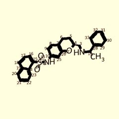 C[C@@H](NC[C@@H]1CCc2ccc(NS(=O)(=O)c3cccc4ccccc34)cc2O1)c1ccccc1